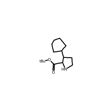 CC(C)(C)OC(=O)C1NCCC1C1CCCCC1